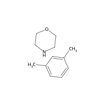 C1COCCN1.Cc1cccc(C)c1